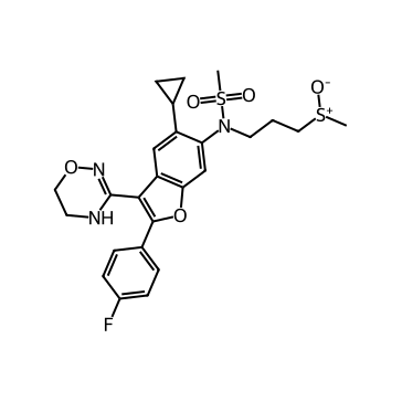 C[S+]([O-])CCCN(c1cc2oc(-c3ccc(F)cc3)c(C3=NOCCN3)c2cc1C1CC1)S(C)(=O)=O